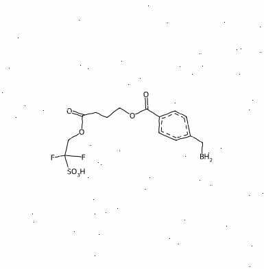 BCc1ccc(C(=O)OCCCC(=O)OCC(F)(F)S(=O)(=O)O)cc1